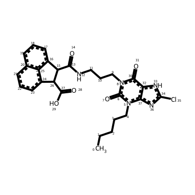 CCCCCn1c(=O)n(CCCNC(=O)C2c3cccc4cccc(c34)C2C(=O)O)c(=O)c2[nH]c(Cl)nc21